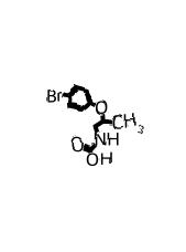 CC(CNC(=O)O)Oc1ccc(Br)cc1